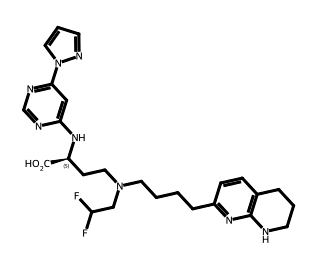 O=C(O)[C@H](CCN(CCCCc1ccc2c(n1)NCCC2)CC(F)F)Nc1cc(-n2cccn2)ncn1